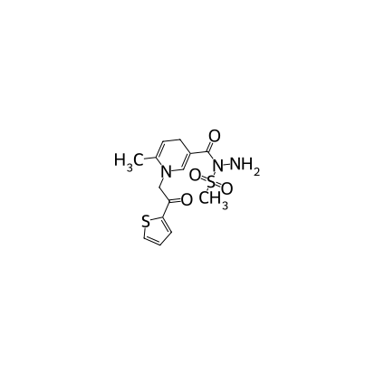 CC1=CCC(C(=O)N(N)S(C)(=O)=O)=CN1CC(=O)c1cccs1